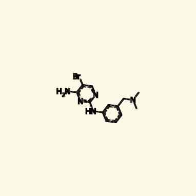 CN(C)Cc1cccc(Nc2ncc(Br)c(N)n2)c1